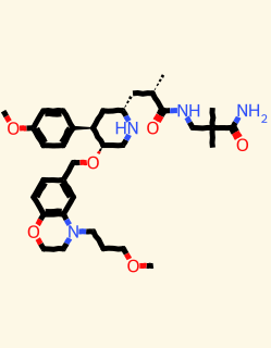 COCCCN1CCOc2ccc(CO[C@H]3CN[C@@H](C[C@H](C)C(=O)NCC(C)(C)C(N)=O)C[C@@H]3c3ccc(OC)cc3)cc21